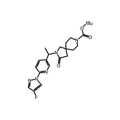 CC(c1ccc(-n2cc(F)cn2)nc1)N1CC2(CCN(C(=O)OC(C)(C)C)CC2)CC1=O